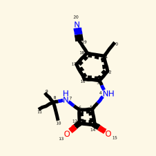 Cc1cc(Nc2c(NC(C)(C)C)c(=O)c2=O)ccc1C#N